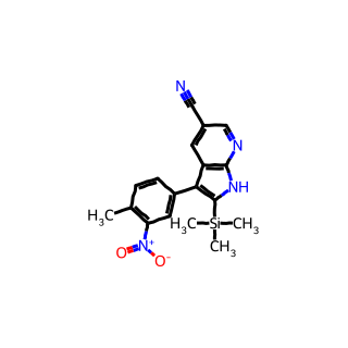 Cc1ccc(-c2c([Si](C)(C)C)[nH]c3ncc(C#N)cc23)cc1[N+](=O)[O-]